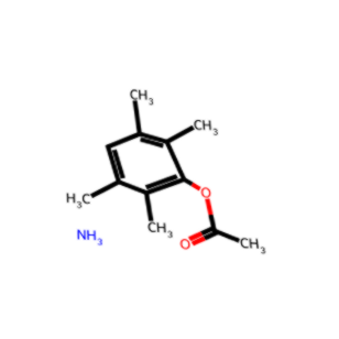 CC(=O)Oc1c(C)c(C)cc(C)c1C.N